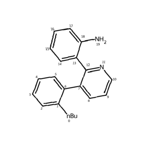 CCCCc1ccccc1-c1cccnc1-c1ccccc1N